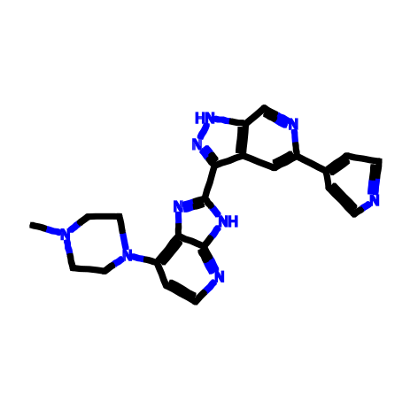 CN1CCN(c2ccnc3[nH]c(-c4n[nH]c5cnc(-c6ccncc6)cc45)nc23)CC1